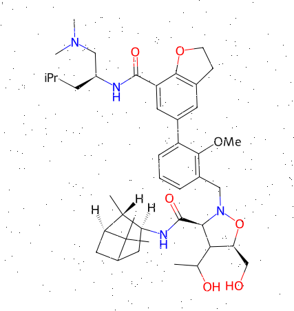 COc1c(CN2O[C@@H](CO)C(C(C)O)[C@H]2C(=O)N[C@H]2CC3C[C@@H]([C@@H]2C)C3(C)C)cccc1-c1cc2c(c(C(=O)N[C@@H](CC(C)C)CN(C)C)c1)OCC2